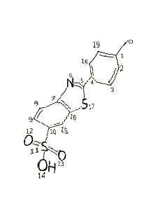 Cc1ccc(-c2nc3ccc(S(=O)(=O)O)cc3s2)cc1